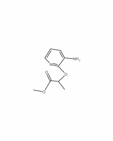 COC(=O)C(C)Oc1ncccc1N